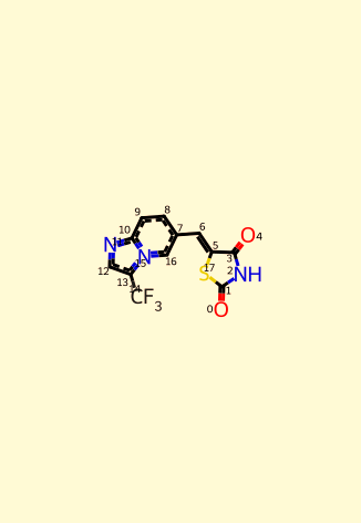 O=C1NC(=O)C(=Cc2ccc3ncc(C(F)(F)F)n3c2)S1